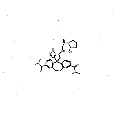 C=C(CNCCC1(c2nn[nH]n2)c2ccc(C(=O)N(C)C)cc2CCc2cc(C(=O)N(C)C)ccc21)N1CCC[C@H]1C#N